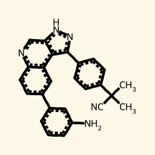 CC(C)(C#N)c1ccc(-c2n[nH]c3cnc4ccc(-c5cccc(N)c5)cc4c23)cc1